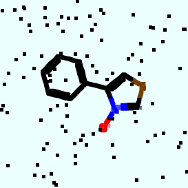 [O-][n+]1[c]scc1-c1ccccc1